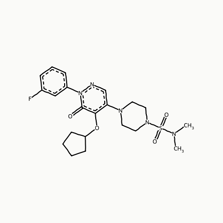 CN(C)S(=O)(=O)N1CCN(c2cnn(-c3cccc(F)c3)c(=O)c2OC2CCCC2)CC1